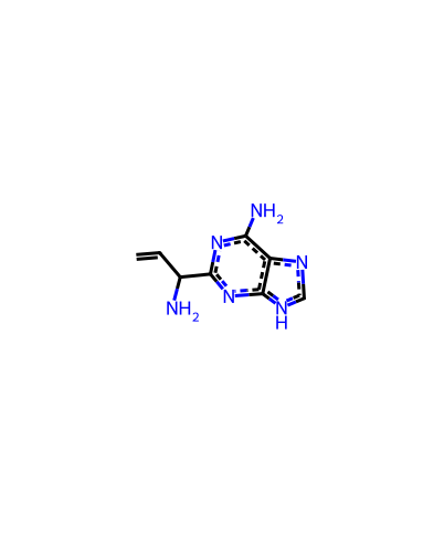 C=CC(N)c1nc(N)c2nc[nH]c2n1